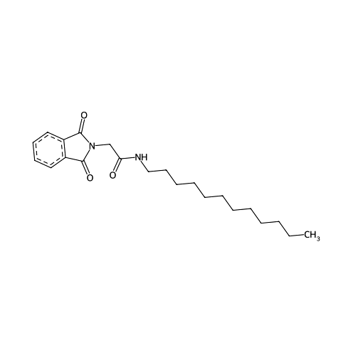 CCCCCCCCCCCCNC(=O)CN1C(=O)c2ccccc2C1=O